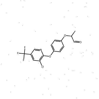 CC([C]=O)Oc1ccc(Oc2ncc(C(F)(F)F)cc2Cl)cc1